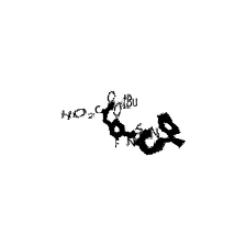 CC(C)(C)OC(=O)C(Cc1ccc(-c2nc3ccc(C4(c5ccccc5)C=C4)nc3s2)c(F)c1)C(=O)O